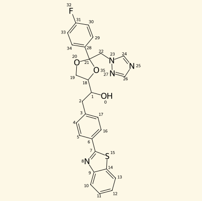 OC(Cc1ccc(-c2nc3ccccc3s2)cc1)C1COC(Cn2cncn2)(c2ccc(F)cc2)O1